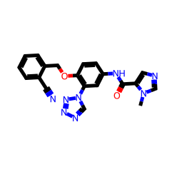 Cn1cncc1C(=O)Nc1ccc(OCc2ccccc2C#N)c(-n2cnnn2)c1